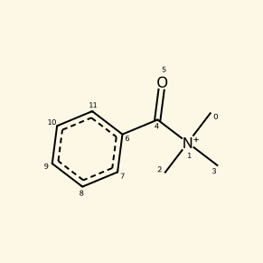 C[N+](C)(C)C(=O)c1ccccc1